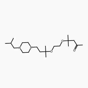 CC(=O)CC(C)(C)OCCOC(C)(C)CCN1CCN(CC(C)C)CC1